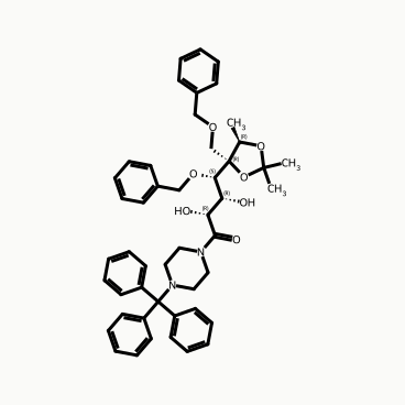 C[C@H]1OC(C)(C)O[C@@]1(COCc1ccccc1)[C@@H](OCc1ccccc1)[C@H](O)[C@@H](O)C(=O)N1CCN(C(c2ccccc2)(c2ccccc2)c2ccccc2)CC1